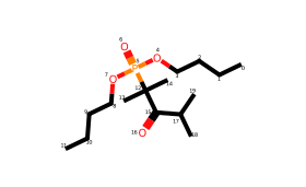 CCCCOP(=O)(OCCCC)C(C)(C)C(=O)C(C)C